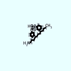 CCCCCCCCCCCCN.O=P(O)(Oc1ccccc1)Oc1ccccc1